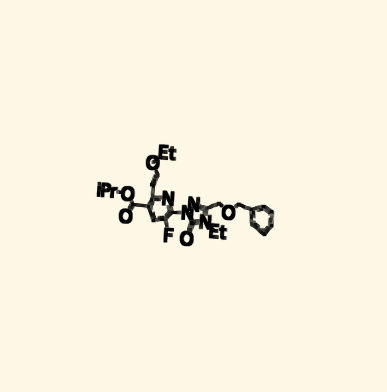 CCO/C=C/c1nc(-n2nc(COCc3ccccc3)n(CC)c2=O)c(F)cc1C(=O)OC(C)C